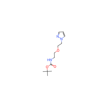 CC(C)(C)OC(=O)NCCOCCn1cccn1